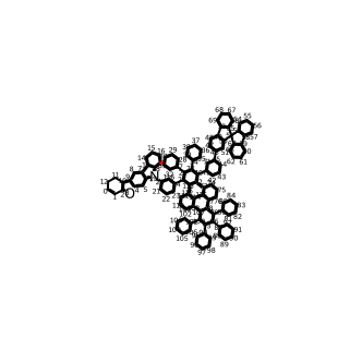 C1=Cc2oc3cc4c(cc3c2CC1)c1ccccc1n4-c1cccc(-c2c(-c3ccccc3)c(-c3ccccc3)c(-c3cccc(-c4ccc5c(c4)C4(c6ccccc6-c6ccccc64)c4ccccc4-5)c3)c3c4cccc5c6c(-c7ccccc7)c(-c7ccccc7)c(-c7ccccc7)c(-c7ccccc7)c6c6cccc(c23)c6c54)c1